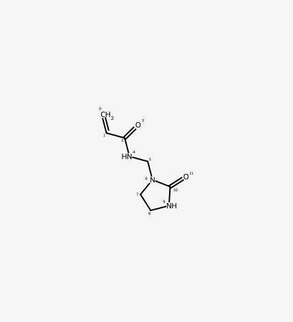 C=CC(=O)NCN1CCNC1=O